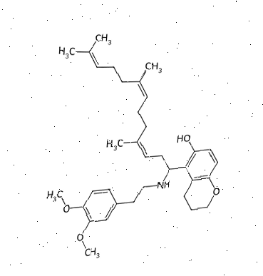 COc1ccc(CCNC(CC=C(C)CCC=C(C)CCC=C(C)C)c2c(O)ccc3c2CCCO3)cc1OC